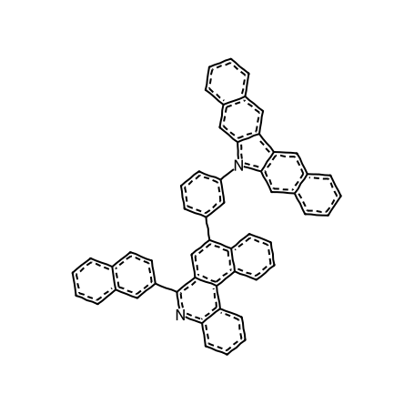 c1cc(-c2cc3c(-c4ccc5ccccc5c4)nc4ccccc4c3c3ccccc23)cc(-n2c3cc4ccccc4cc3c3cc4ccccc4cc32)c1